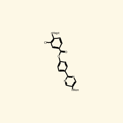 CCCCCCCCCc1cnc(-c2ccc(OC(=O)c3ccc(CCCCCCC)c(Cl)c3)cc2)nc1